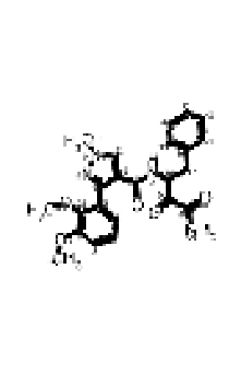 COc1cccc(-c2nn(C)cc2C(=O)NC(Cc2ccccc2)C(=O)C(N)=O)c1OC